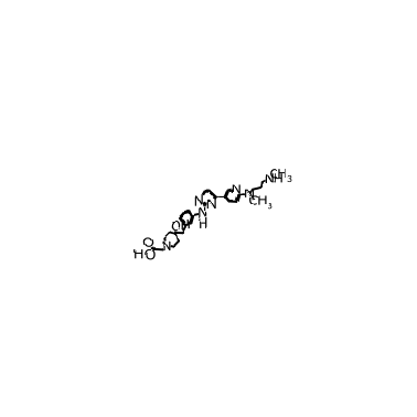 CNCCCN(C)c1ccc(-c2ccnc(Nc3cccc(CC4(O)CCN(CC(=O)O)CC4)c3)n2)cn1